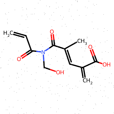 C=CC(=O)N(CO)C(=O)C(C)=CC(=C)C(=O)O